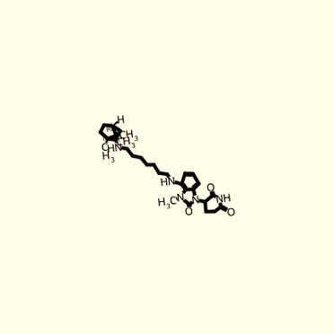 Cn1c(=O)n(C2CCC(=O)NC2=O)c2cccc(NCCCCCCCN[C@H]3C[C@H]4CC[C@]3(C)C4(C)C)c21